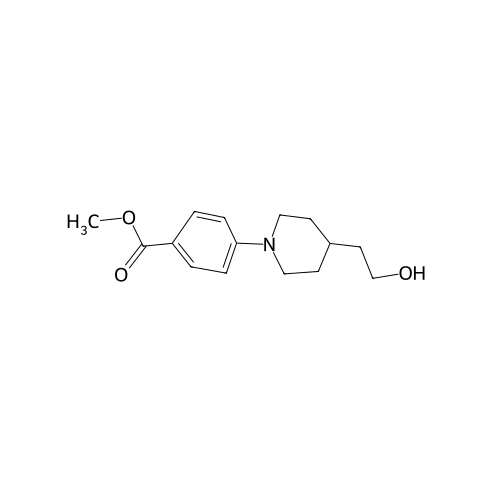 COC(=O)c1ccc(N2CCC(CCO)CC2)cc1